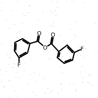 O=C(OC(=O)c1cccc(F)c1)c1cccc(F)c1